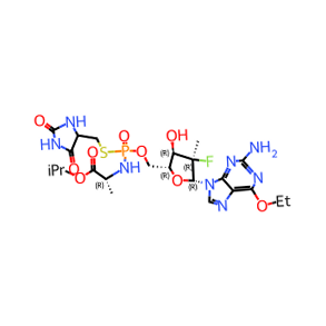 CCOc1nc(N)nc2c1ncn2[C@@H]1O[C@H](COP(=O)(N[C@H](C)C(=O)OC(C)C)SCC2NC(=O)NC2=O)[C@@H](O)[C@@]1(C)F